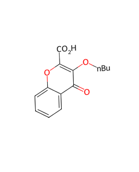 CCCCOc1c(C(=O)O)oc2ccccc2c1=O